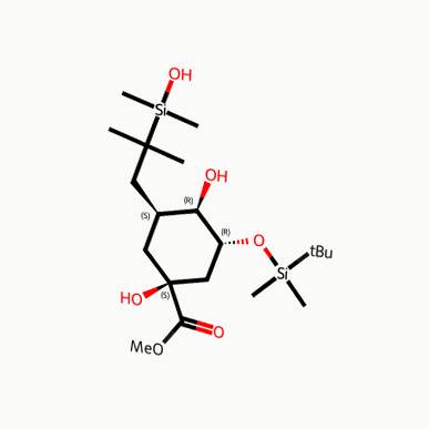 COC(=O)[C@]1(O)C[C@@H](CC(C)(C)[Si](C)(C)O)[C@@H](O)[C@H](O[Si](C)(C)C(C)(C)C)C1